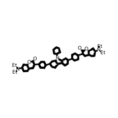 CCN(CC)c1ccc2cc(-c3ccc(-c4ccc5c6ccc(-c7ccc(-c8cc9ccc(N(CC)CC)cc9oc8=O)cc7)cc6n(-c6ccccc6)c5c4)cc3)c(=O)oc2c1